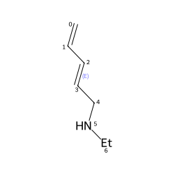 C=C/C=C/CNCC